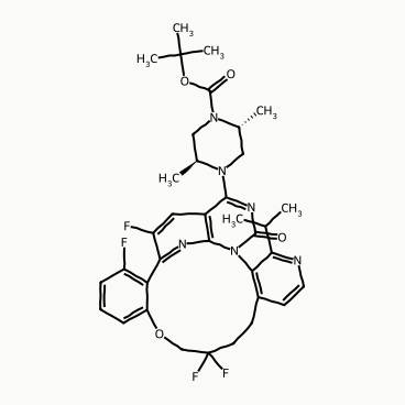 CC(C)c1nccc2c1-n1c(=O)nc(N3C[C@@H](C)N(C(=O)OC(C)(C)C)C[C@@H]3C)c3cc(F)c(nc31)-c1c(F)cccc1OCC(F)(F)CC2